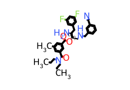 CCCN(CCC)C(=O)c1cc(C)cc(C(=O)O[C@H](CNCc2cccc(C#N)c2)[C@@H](N)Cc2cc(F)cc(F)c2)c1